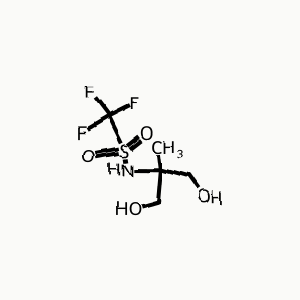 CC(CO)(CO)NS(=O)(=O)C(F)(F)F